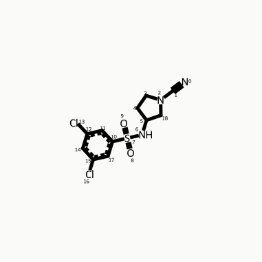 N#CN1CCC(NS(=O)(=O)c2cc(Cl)cc(Cl)c2)C1